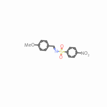 COc1ccc(C=NS(=O)(=O)c2ccc([N+](=O)[O-])cc2)cc1